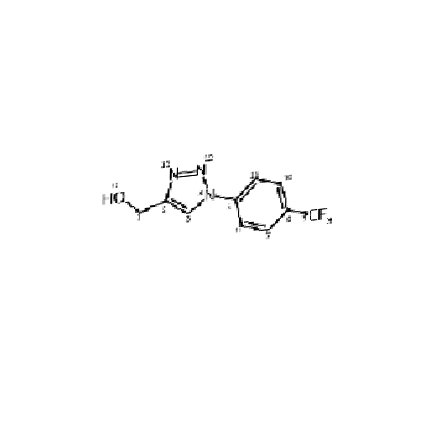 OCc1cn(-c2ccc(C(F)(F)F)cc2)nn1